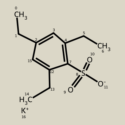 CCc1cc(CC)c(S(=O)(=O)[O-])c(CC)c1.[K+]